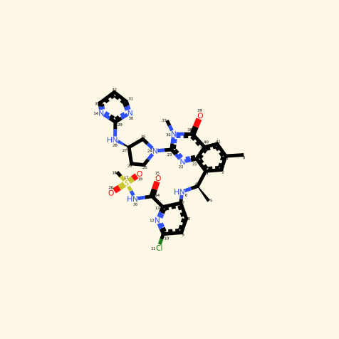 Cc1cc([C@@H](C)Nc2ccc(Cl)nc2C(=O)NS(C)(=O)=O)c2nc(N3CC[C@@H](Nc4ncccn4)C3)n(C)c(=O)c2c1